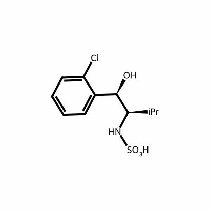 CC(C)[C@@H](NS(=O)(=O)O)[C@H](O)c1ccccc1Cl